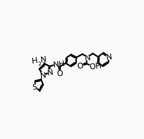 Nc1cn(-c2ccsc2)nc1NC(=O)c1ccc(CN(Cc2cccnc2)C(=O)O)cc1